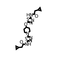 O=C(CC1CC1)Nc1nnc(OC2CCN(c3nnc(NC(=O)CC4CC4)s3)CC2)s1